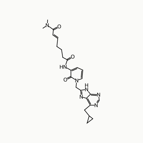 CN(C)C(=O)/C=C/CCCC(=O)Nc1cccn(Cc2nc3c(CC4CC4)ncnc3[nH]2)c1=O